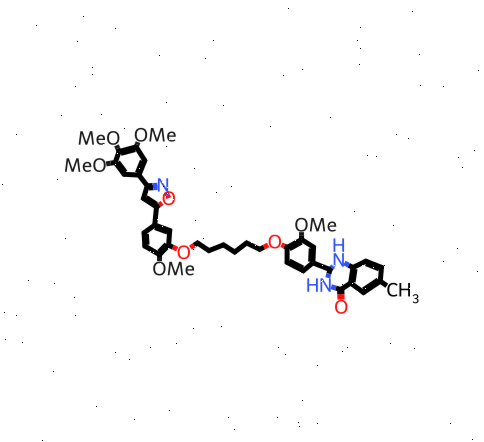 COc1cc(C2NC(=O)c3cc(C)ccc3N2)ccc1OCCCCCCOc1cc(-c2cc(-c3cc(OC)c(OC)c(OC)c3)no2)ccc1OC